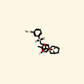 COc1cccc(S(=O)(=O)CCC(=O)N2CC3CCC(C2)N3c2ccc(C)c(F)c2)c1